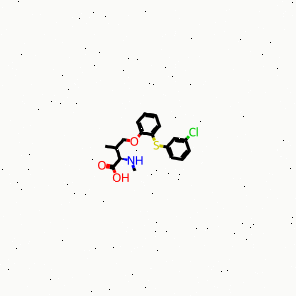 CN[C@@H](C(=O)O)C(C)COc1ccccc1Sc1cccc(Cl)c1